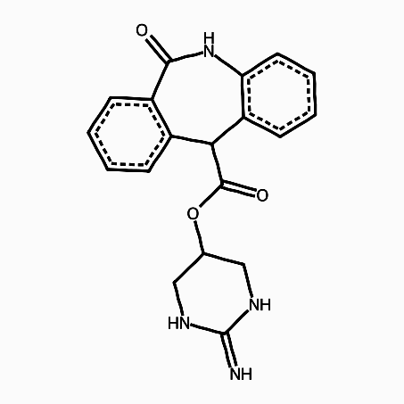 N=C1NCC(OC(=O)C2c3ccccc3NC(=O)c3ccccc32)CN1